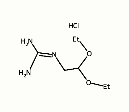 CCOC(CN=C(N)N)OCC.Cl